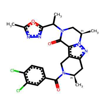 Cc1nnc(C(C)N2C[C@@H](C)n3nc4c(c3C2=O)CN(C(=O)c2ccc(Cl)c(Cl)c2)[C@H](C)C4)o1